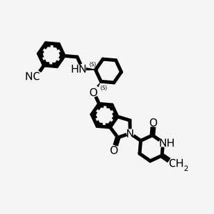 C=C1CCC(N2Cc3cc(O[C@H]4CCCC[C@@H]4NCc4cccc(C#N)c4)ccc3C2=O)C(=O)N1